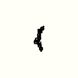 COC(=O)C(Cc1ccc(OCc2cnn(-c3ccc(C)cc3)c2)cc1)C(C)=NOCc1ccc(C)cc1